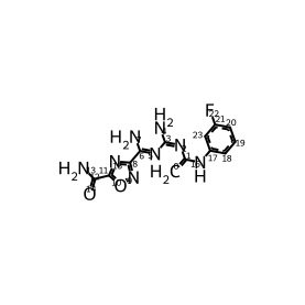 C=C(/N=C(N)\N=C(/N)c1noc(C(N)=O)n1)Nc1cccc(F)c1